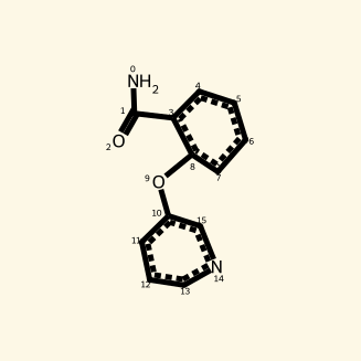 NC(=O)c1ccccc1Oc1cccnc1